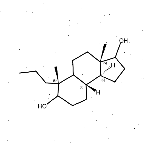 CCC[C@@]1(C)C(O)CC[C@@H]2C1CC[C@]1(C)C(O)CC[C@@H]21